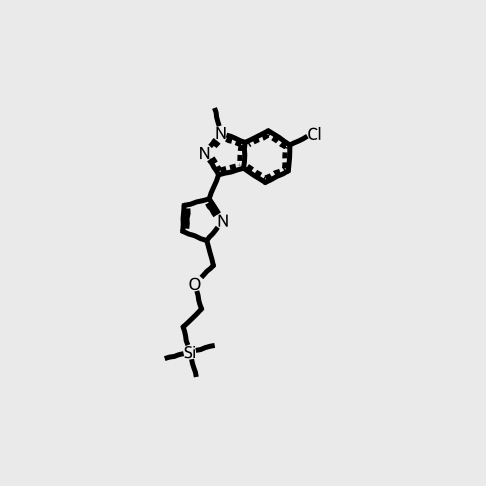 Cn1nc(C2=NC(COCC[Si](C)(C)C)C=C2)c2ccc(Cl)cc21